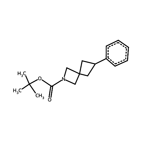 CC(C)(C)OC(=O)N1CC2(CC(c3ccccc3)C2)C1